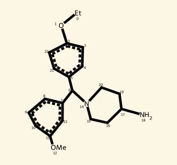 CCOc1ccc(C(c2cccc(OC)c2)N2CCC(N)CC2)cc1